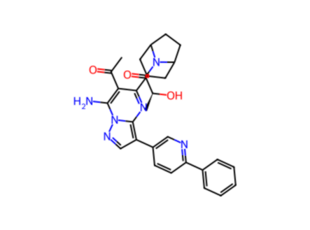 CC(=O)c1c(C2CC3CCC(C2)N3C(=O)[C@H](C)O)nc2c(-c3ccc(-c4ccccc4)nc3)cnn2c1N